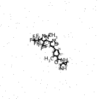 Cc1cc(-c2cc(-c3c(C(F)(F)F)c(C(F)(F)C(F)(F)F)nn3C)no2)ccc1C(=O)NC1(C=N)CC1